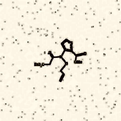 C=CCON(C(=O)CC(=O)OCC)c1ccsc1C(=O)OC